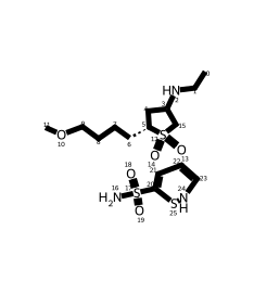 CCNC1C[C@@H](CCCCOC)S(=O)(=O)C1.NS(=O)(=O)C1=CC=CNS1